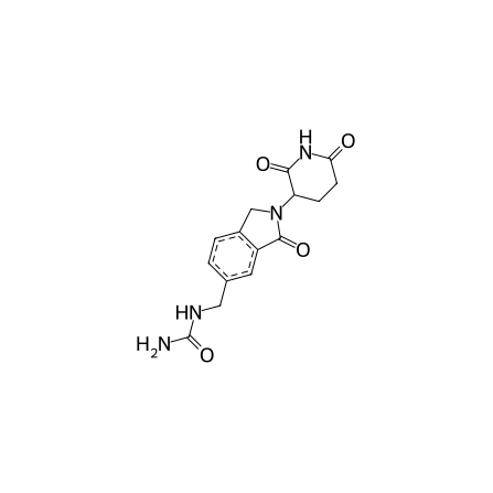 NC(=O)NCc1ccc2c(c1)C(=O)N(C1CCC(=O)NC1=O)C2